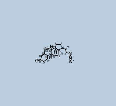 C[C@H](CN=[N+]=[N-])[C@H]1CC[C@H]2[C@@H]3C=CC4=CC(=O)CC[C@]4(C)[C@H]3CC[C@]12C